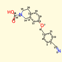 N#Cc1ccc(COc2ccc3c(c2)CN(C(=O)O)CC3)cc1